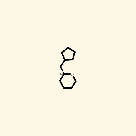 C1CC[C@@H](CC2CCCC2)OC1